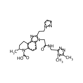 Cc1nnc(CNC(=O)Cn2c(CCn3cccn3)nc3c4c(ccc32)N(C(=O)O)[C@@H](C)CC4)n1C